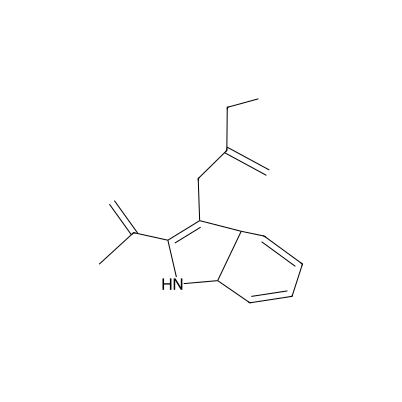 C=C(CC)CC1=C(C(=C)C)NC2C=CC=CC12